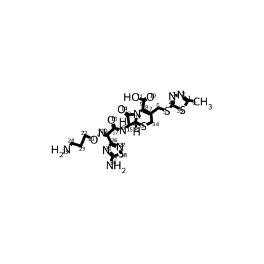 Cc1nnc(SCC2=C(C(=O)O)N3C(=O)C(NC(=O)/C(=N/OCCCN)c4nsc(N)n4)[C@H]3SC2)s1